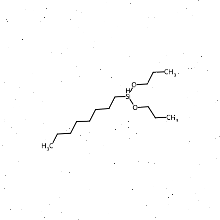 CCCCCCCC[SiH](OCCC)OCCC